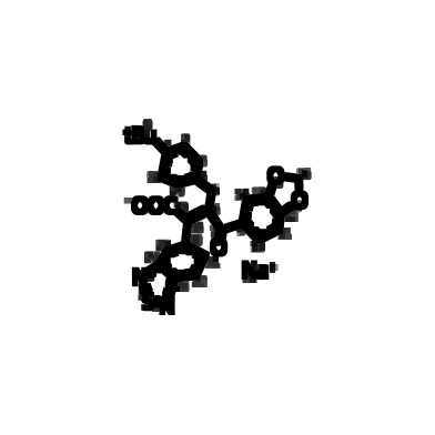 CC(C)(C)c1ccc(C/C(C(=O)c2ccc3c(c2)OCO3)=C(\C(=O)[O-])c2ccc3nsnc3c2)cc1.[Na+]